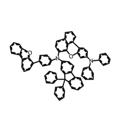 c1ccc(N(c2ccccc2)c2ccc3c(c2)Oc2c(N(c4ccc(-c5cccc6c5oc5ccccc56)cc4)c4ccc5c(c4)C(c4ccccc4)(c4ccccc4)c4ccccc4-5)ccc4cccc-3c24)cc1